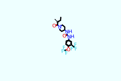 CC[C@H](C)C(=O)N1CCC(NC(=O)Nc2ccc(OC(F)(F)F)c(C(F)(F)F)c2)CC1